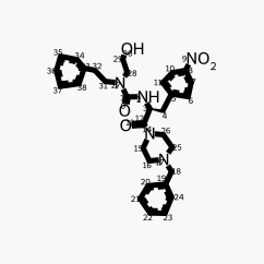 O=C(N[C@@H](Cc1ccc([N+](=O)[O-])cc1)C(=O)N1CCN(Cc2ccccc2)CC1)N(CCO)CCc1ccccc1